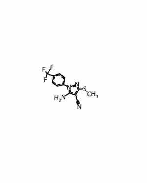 CSc1nn(-c2ccc(C(F)(F)F)cc2)c(N)c1C#N